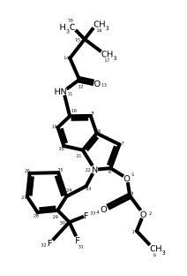 CCOC(=O)Oc1cc2cc(NC(=O)CC(C)(C)C)ccc2n1Cc1ccccc1C(F)(F)F